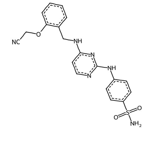 N#CCOc1ccccc1CNc1ccnc(Nc2ccc(S(N)(=O)=O)cc2)n1